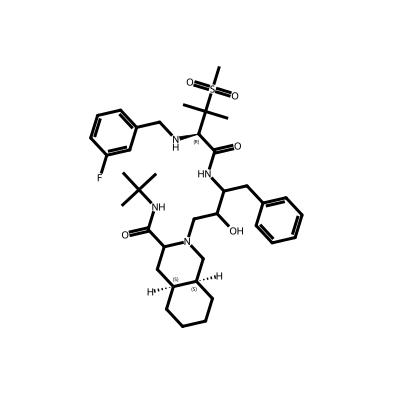 CC(C)(C)NC(=O)C1C[C@@H]2CCCC[C@@H]2CN1CC(O)C(Cc1ccccc1)NC(=O)[C@@H](NCc1cccc(F)c1)C(C)(C)S(C)(=O)=O